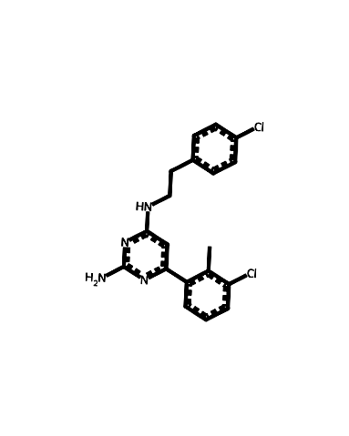 Cc1c(Cl)cccc1-c1cc(NCCc2ccc(Cl)cc2)nc(N)n1